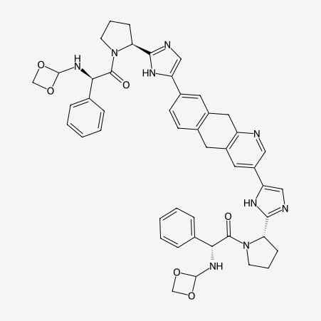 O=C([C@H](NC1OCO1)c1ccccc1)N1CCC[C@H]1c1ncc(-c2ccc3c(c2)Cc2ncc(-c4cnc([C@@H]5CCCN5C(=O)[C@H](NC5OCO5)c5ccccc5)[nH]4)cc2C3)[nH]1